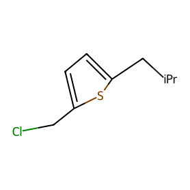 CC(C)Cc1ccc(CCl)s1